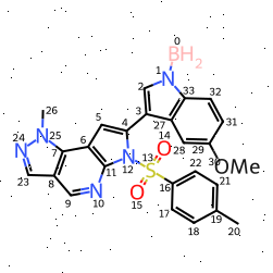 Bn1cc(-c2cc3c4c(cnc3n2S(=O)(=O)c2ccc(C)cc2)cnn4C)c2cc(OC)ccc21